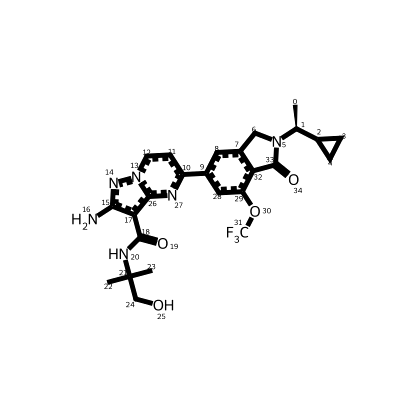 C[C@@H](C1CC1)N1Cc2cc(-c3ccn4nc(N)c(C(=O)NC(C)(C)CO)c4n3)cc(OC(F)(F)F)c2C1=O